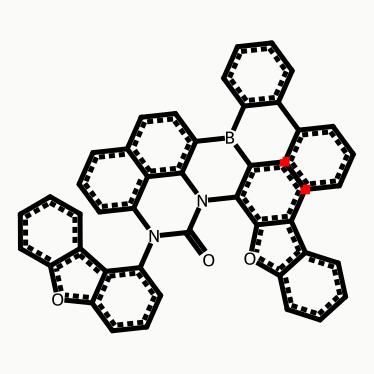 O=C1N2c3c(ccc4c3oc3ccccc34)B(c3ccccc3-c3ccccc3)c3ccc4cccc(c4c32)N1c1cccc2oc3ccccc3c12